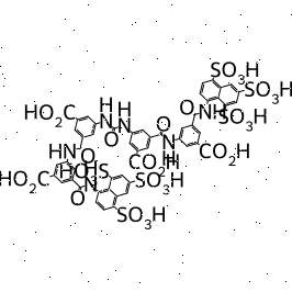 O=C(Nc1cc(C(=O)O)cc(C(=O)Nc2cc(C(=O)O)cc(C(=O)Nc3ccc(S(=O)(=O)O)c4cc(S(=O)(=O)O)cc(S(=O)(=O)O)c34)c2)c1)Nc1cc(C(=O)O)cc(C(=O)Nc2cc(C(=O)O)cc(C(=O)Nc3ccc(S(=O)(=O)O)c4cc(S(=O)(=O)O)cc(S(=O)(=O)O)c34)c2)c1